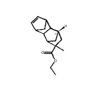 CCOC(=O)C1(C)C[C@@H]2CC1C1C3C=CC(C3)C12